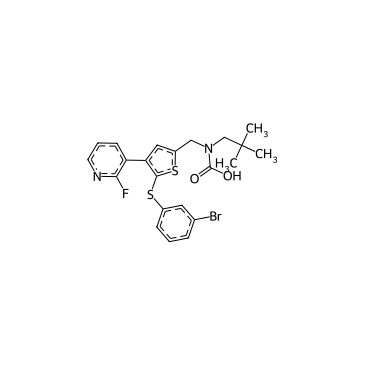 CC(C)(C)CN(Cc1cc(-c2cccnc2F)c(Sc2cccc(Br)c2)s1)C(=O)O